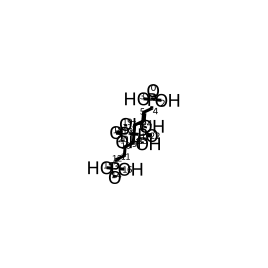 O=P(O)(O)CC=CCC(CCCCP(=O)(O)O)(P(=O)(O)O)P(=O)(O)O